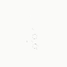 CC(C)N(c1ccc2c(c1)CN(CCOCC1CC1)CC2)c1ccc(=O)n(C)c1